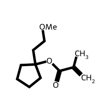 C=C(C)C(=O)OC1(CCOC)CCCC1